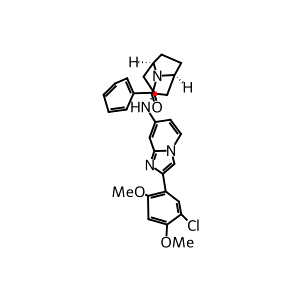 COc1cc(OC)c(-c2cn3ccc(N[C@@H]4C[C@H]5CC[C@@H](C4)N5C(=O)c4ccccc4)cc3n2)cc1Cl